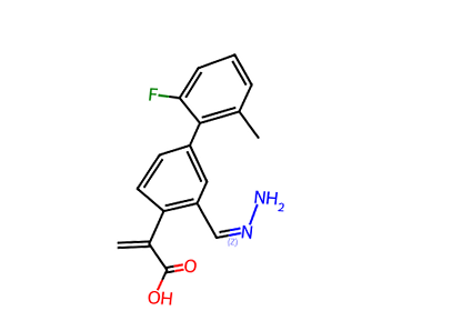 C=C(C(=O)O)c1ccc(-c2c(C)cccc2F)cc1/C=N\N